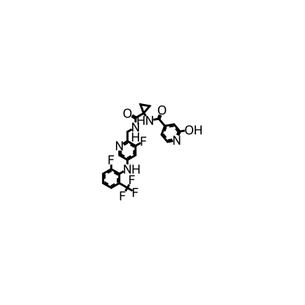 O=C(NC1(C(=O)NCc2ncc(Nc3c(F)cccc3C(F)(F)F)cc2F)CC1)c1ccnc(O)c1